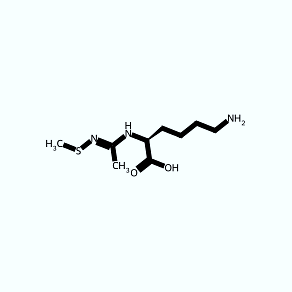 CS/N=C(\C)N[C@@H](CCCCN)C(=O)O